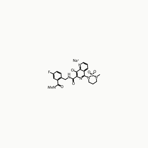 CNC(=O)c1cc(F)ccc1CNC(=O)c1nc(N2CCCN(C)S2(=O)=O)c2cccnc2c1[O-].[Na+]